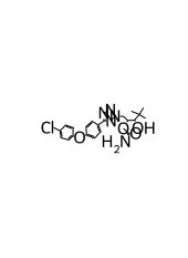 CC(C)(C)C(O)C(Cn1nnc(-c2ccc(Oc3ccc(Cl)cc3)cc2)n1)OC(N)=O